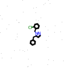 Clc1ccccc1Cn1nccc1Cc1ccccc1